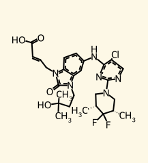 C[C@@H]1CN(c2ncc(Cl)c(Nc3ccc4c(c3)n(CCC(C)(C)O)c(=O)n4C/C=C/C(=O)O)n2)C[C@H](C)C1(F)F